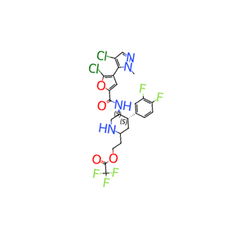 Cn1ncc(Cl)c1-c1cc(C(=O)N[C@@H]2CNC(CCOC(=O)C(F)(F)F)C[C@H]2c2ccc(F)c(F)c2)oc1Cl